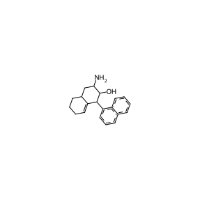 NC1CC2CCCC=C2C(c2cccc3ccccc23)C1O